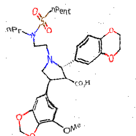 CCCCCS(=O)(=O)N(CCC)CCN1C[C@H](c2cc(OC)c3c(c2)OCO3)[C@H](C(=O)O)[C@H]1c1ccc2c(c1)OCCO2